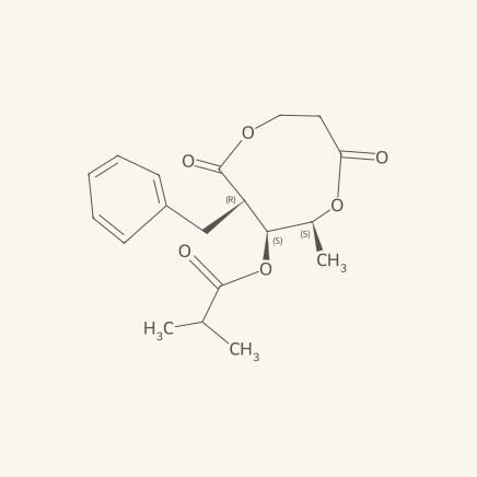 CC(C)C(=O)O[C@@H]1[C@H](C)OC(=O)CCOC(=O)[C@@H]1Cc1ccccc1